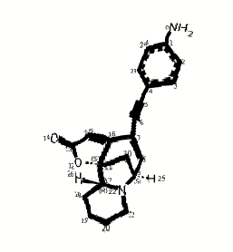 Nc1ccc(C#CC2=C[C@@H]3C[C@@]4(OC(=O)C=C24)[C@H]2CCCCN32)cc1